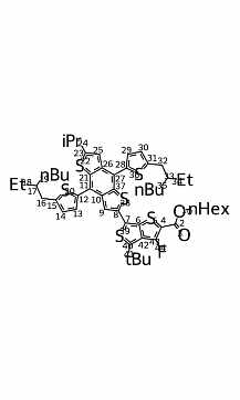 CCCCCCOC(=O)c1sc2c(-c3cc4c(-c5ccc(CC(CC)CCCC)s5)c5sc(C(C)C)cc5c(-c5ccc(CC(CC)CCCC)s5)c4s3)sc(C(C)(C)C)c2c1F